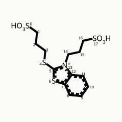 O=S(=O)(O)CCCSc1sc2ccccc2[n+]1CCCS(=O)(=O)O